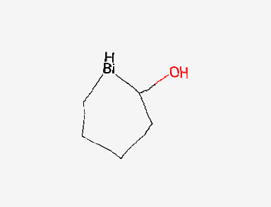 O[CH]1CCC[CH2][BiH]1